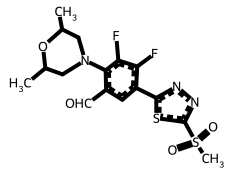 CC1CN(c2c(C=O)cc(-c3nnc(S(C)(=O)=O)s3)c(F)c2F)CC(C)O1